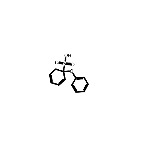 O=S(=O)(O)C1(Oc2ccccc2)C=CC=CC1